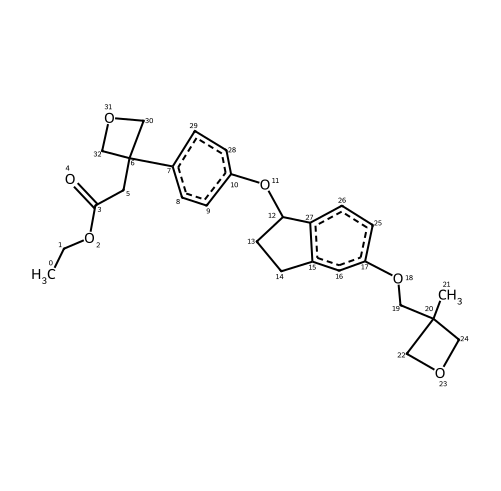 CCOC(=O)CC1(c2ccc(OC3CCc4cc(OCC5(C)COC5)ccc43)cc2)COC1